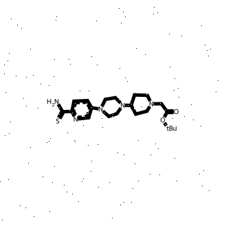 CC(C)(C)OC(=O)CN1CCC(N2CCN(c3ccc(C(N)=S)nc3)CC2)CC1